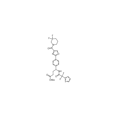 COC(=O)CCC(NC(=O)C(F)(F)c1cccs1)c1ccc(-c2nc(C(=O)N3CCCC(F)(F)C3)co2)cc1